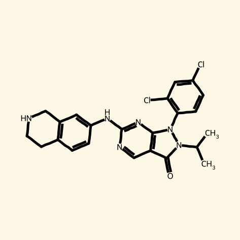 CC(C)n1c(=O)c2cnc(Nc3ccc4c(c3)CNCC4)nc2n1-c1ccc(Cl)cc1Cl